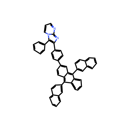 c1ccc(-c2c(-c3ccc(-c4ccc5c(-c6ccc7ccccc7c6)c6ccccc6c(-c6ccc7ccccc7c6)c5c4)cc3)nc3ncccn23)cc1